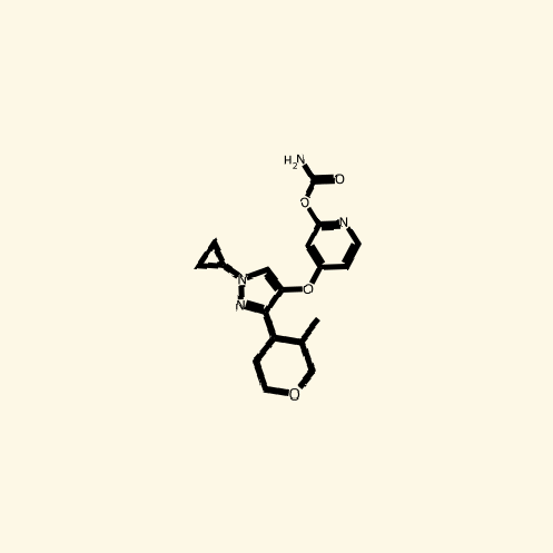 CC1COCCC1c1nn(C2CC2)cc1Oc1ccnc(OC(N)=O)c1